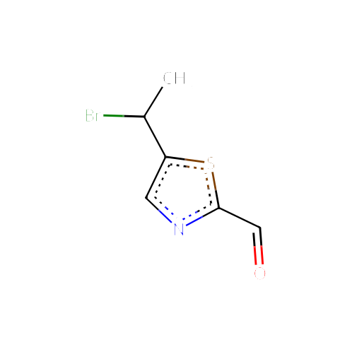 CC(Br)c1cnc(C=O)s1